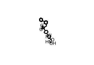 O=C(NO)c1cnc(C2CCC(c3c(Cc4cccc(-c5ccccc5)c4)c(=O)c3=O)CC2)nc1